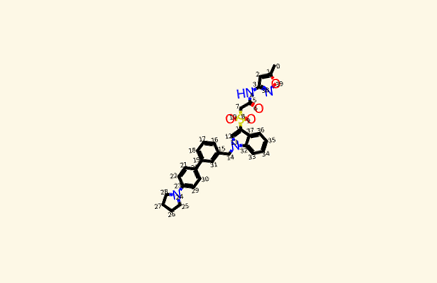 Cc1cc(NC(=O)CS(=O)(=O)c2cn(Cc3cccc(-c4ccc(N5CCCC5)cc4)c3)c3ccccc23)no1